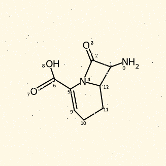 NC1C(=O)N2C(C(=O)O)=CCCC12